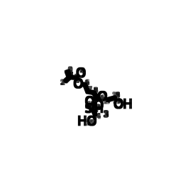 C=C(C)C(=O)OCCCC(O[SiH3])(OCCO)OCCO